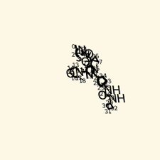 Cc1csc(S(=O)(=O)C2(c3cc(N4CCOC[C@@H]4C)nc(-c4ccc(NC(=O)NC5CCC5)cc4)n3)CC2)n1